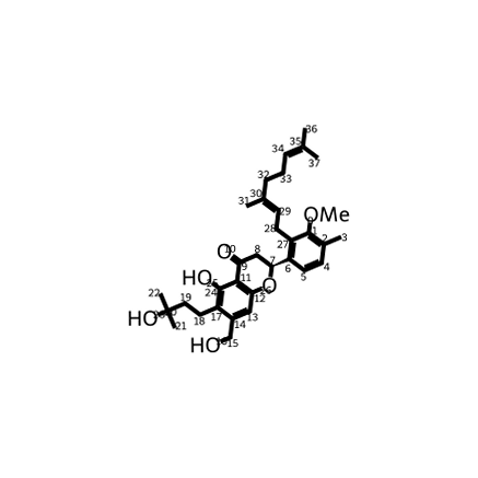 COc1c(C)ccc([C@@H]2CC(=O)c3c(cc(CO)c(CCC(C)(C)O)c3O)O2)c1C/C=C(\C)CCC=C(C)C